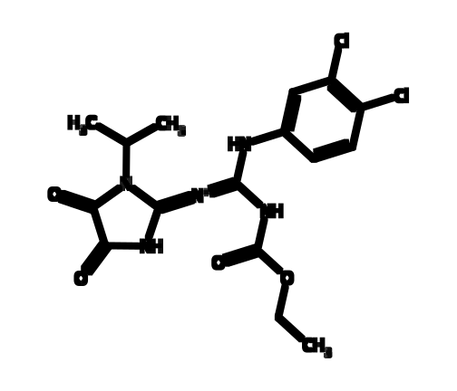 CCOC(=O)NC(=[N+]=C1NC(=O)C(=O)N1C(C)C)Nc1ccc(Cl)c(Cl)c1